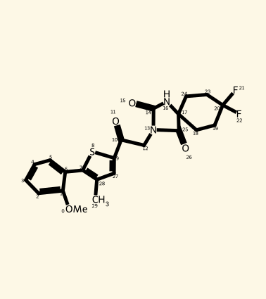 COc1ccccc1-c1sc(C(=O)CN2C(=O)NC3(CCC(F)(F)CC3)C2=O)cc1C